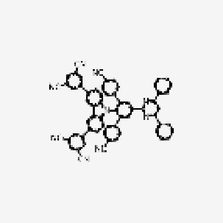 N#Cc1ccc(-c2cc(-c3nc(-c4ccccc4)cc(-c4ccccc4)n3)cc(-c3ccc(C#N)cc3)c2-n2c3ccc(-c4cc(C#N)cc(C#N)c4)cc3c3cc(-c4cc(C#N)cc(C#N)c4)ccc32)cc1